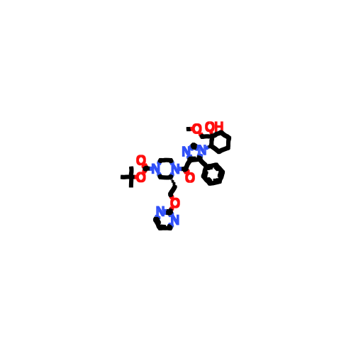 COC[C@]1(O)CCCC[C@H]1n1cnc(C(=O)N2CCN(C(=O)OC(C)(C)C)C[C@H]2CCOc2ncccn2)c1-c1ccccc1